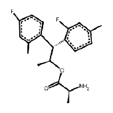 Cc1ccc([C@@H](c2ccc(F)cc2C)[C@H](C)OC(=O)[C@H](C)N)c(F)c1